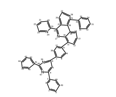 c1ccc(-c2cc(-c3ccc(-c4cccc5c4nc(-c4ccccn4)c4cccc(-c6ccccc6)c45)cc3)nc(-c3ccccc3)n2)cc1